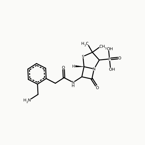 CC1(C)S[C@H]2C(NC(=O)Cc3ccccc3CN)C(=O)N2C1P(=O)(O)O